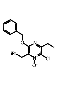 CC(C)Cc1c(OCc2ccccc2)nc(CI)c(Cl)[n+]1[O-]